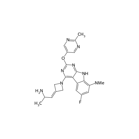 CNc1cc(F)cc2c1[nH]c1nc(Oc3cnc(C)nc3)nc(N3CC(=CC(C)N)C3)c12